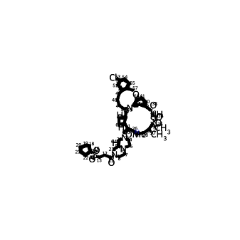 CO[C@@]1(CN2CCN3CCN(C(=O)CCS(=O)(=O)c4ccccc4)C[C@H]3C2)/C=C/C[C@H](C)[C@@H](C)S(=O)(=O)NC(=O)c2ccc3c(c2)N(CCCCc2cc(Cl)ccc2CO3)C[C@@H]2CC[C@H]21